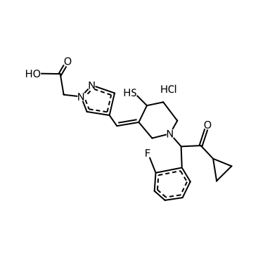 Cl.O=C(O)Cn1cc(C=C2CN(C(C(=O)C3CC3)c3ccccc3F)CCC2S)cn1